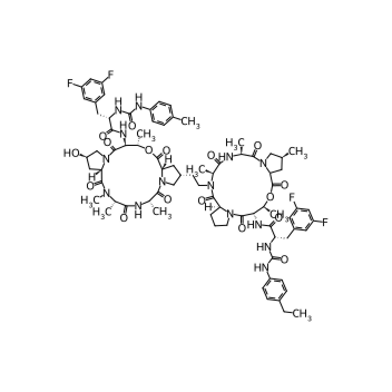 CCc1ccc(NC(=O)N[C@@H](Cc2cc(F)cc(F)c2)C(=O)N[C@@H]2C(=O)N3CCC[C@H]3C(=O)N(CC[C@H]3C[C@H]4C(=O)O[C@@H](C)[C@H](NC(=O)[C@H](Cc5cc(F)cc(F)c5)NC(=O)Nc5ccc(C)cc5)C(=O)N5C[C@H](O)C[C@H]5C(=O)N(C)[C@@H](C)C(=O)N[C@@H](C)C(=O)N4C3)[C@@H](C)C(=O)N[C@@H](C)C(=O)N3C[C@@H](C)CC3C(=O)O[C@H]2C)cc1